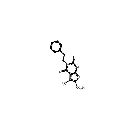 CCOC(=O)c1sc2[nH]c(=O)n(CCc3ccccc3)c(=O)c2c1C(F)(F)F